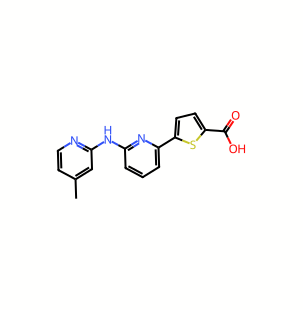 Cc1ccnc(Nc2cccc(-c3ccc(C(=O)O)s3)n2)c1